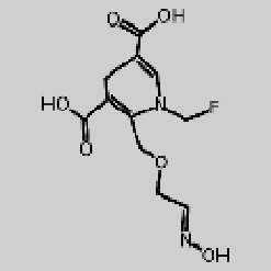 O=C(O)C1=CN(CF)C(COCC=NO)=C(C(=O)O)C1